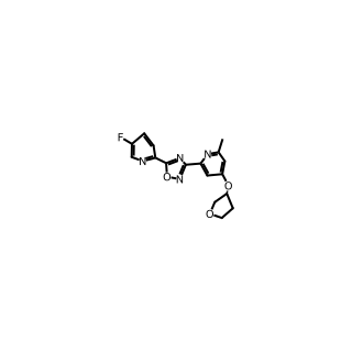 Cc1cc(O[C@@H]2CCOC2)cc(-c2noc(-c3ccc(F)cn3)n2)n1